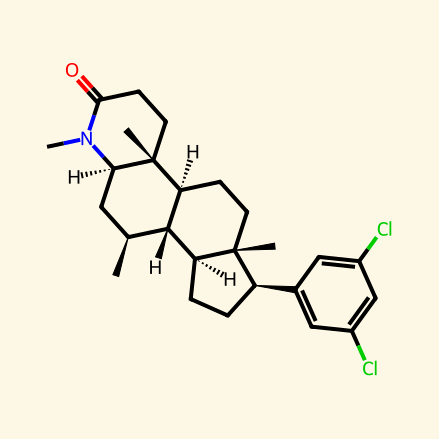 C[C@H]1C[C@H]2N(C)C(=O)CC[C@]2(C)[C@H]2CC[C@]3(C)[C@@H](c4cc(Cl)cc(Cl)c4)CC[C@H]3[C@H]12